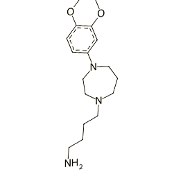 NCCCCN1CCCN(c2ccc3c(c2)OCCO3)CC1